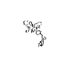 O=C(C=Cc1ccc(-c2nc3c(=O)n(CC4CCCCC4)c(=O)n(CC4CCCCC4)c3[nH]2)cc1)n1ccnc1